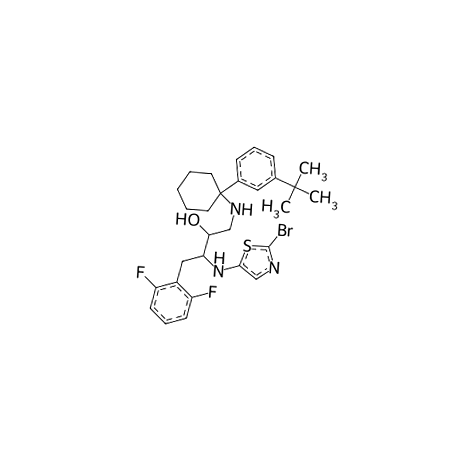 CC(C)(C)c1cccc(C2(NCC(O)C(Cc3c(F)cccc3F)Nc3cnc(Br)s3)CCCCC2)c1